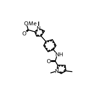 COC(=O)c1cc(-c2ccc(NC(=O)c3cc(C)cn3C)cc2)cn1C